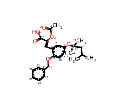 CC(=O)OC(=Cc1cc(O[Si](C)(C)CC(C)C)ccc1OCc1ccccc1)C(=O)O